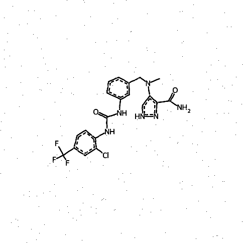 CN(Cc1cccc(NC(=O)Nc2ccc(C(F)(F)F)cc2Cl)c1)c1c[nH]nc1C(N)=O